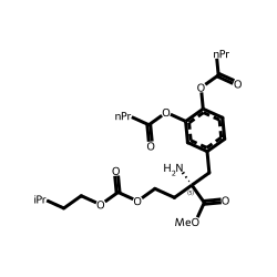 CCCC(=O)Oc1ccc(C[C@](N)(CCOC(=O)OCCC(C)C)C(=O)OC)cc1OC(=O)CCC